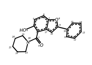 O=C(c1c(O)ccc2oc(-c3ccccc3)cc12)N1CCCCC1